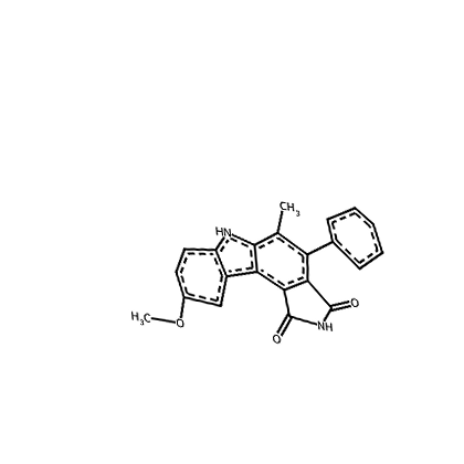 COc1ccc2[nH]c3c(C)c(-c4ccccc4)c4c(c3c2c1)C(=O)NC4=O